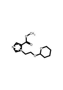 COC(=O)c1cncn1CCOC1CCCCO1